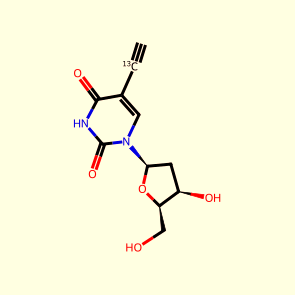 C#[13C]c1cn([C@H]2C[C@@H](O)[C@@H](CO)O2)c(=O)[nH]c1=O